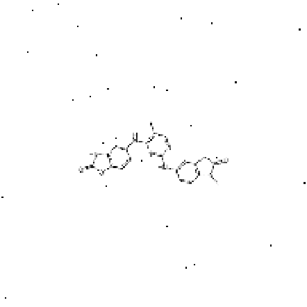 Cc1cnc(Nc2ccc3c(c2)CC(=O)N3C)nc1Nc1ccc2oc(=O)[nH]c2c1